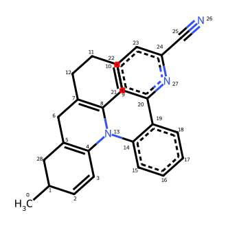 CC1C=CC2=C(CC3=C(C=CCC3)N2c2ccccc2-c2cccc(C#N)n2)C1